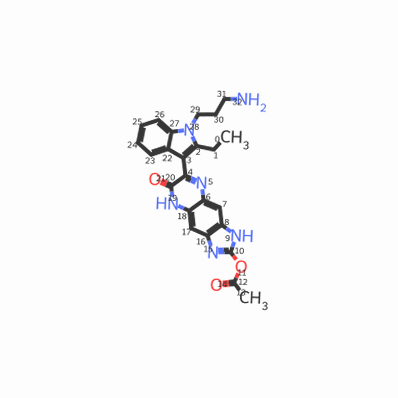 CCc1c(-c2nc3cc4[nH]c(OC(C)=O)nc4cc3[nH]c2=O)c2ccccc2n1CCCN